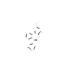 CNc1nc(C)c2c(n1)-c1ccccc1C(c1ccccc1)=NC2